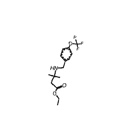 CCOC(=O)CC(C)(C)NCc1ccc(OC(F)(F)F)cc1